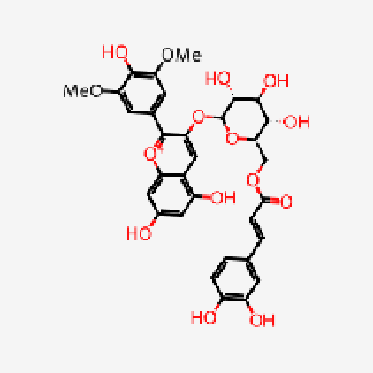 COc1cc(-c2[o+]c3cc(O)cc(O)c3cc2OC2O[C@H](COC(=O)C=Cc3ccc(O)c(O)c3)[C@@H](O)[C@H](O)[C@H]2O)cc(OC)c1O